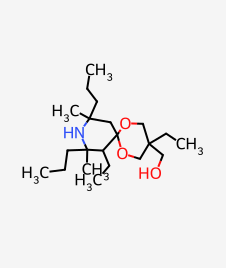 CCCC1(C)CC2(OCC(CC)(CO)CO2)C(CC)C(C)(CCC)N1